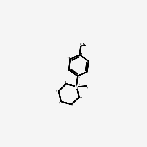 CC(C)(C)c1ccc(S2(C)CCCCC2)cc1